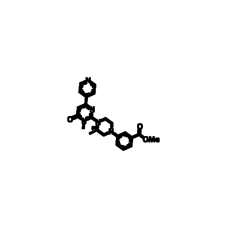 COC(=O)c1cccc(N2CCN(c3nc(-c4ccncc4)cc(=O)n3C)[C@H](C)C2)c1